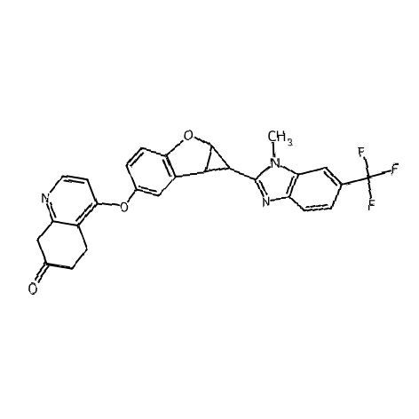 Cn1c(C2C3Oc4ccc(Oc5ccnc6c5CCC(=O)C6)cc4C32)nc2ccc(C(F)(F)F)cc21